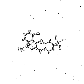 CN(C)/C=C(/Oc1ccc(C(F)(F)F)cc1)C(=O)c1ccccc1Cl